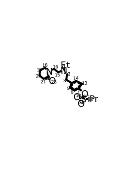 CCN(CCc1ccc(OS(=O)(=O)C(C)C)cc1)CCN1CCCCC1=O